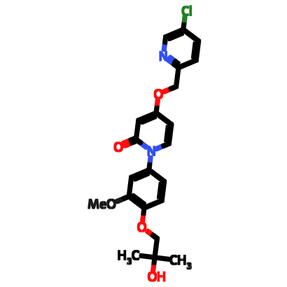 COc1cc(-n2ccc(OCc3ccc(Cl)cn3)cc2=O)ccc1OCC(C)(C)O